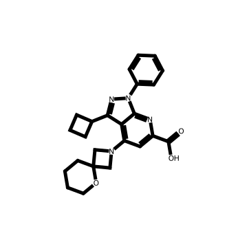 O=C(O)c1cc(N2CC3(CCCCO3)C2)c2c(C3CCC3)nn(-c3ccccc3)c2n1